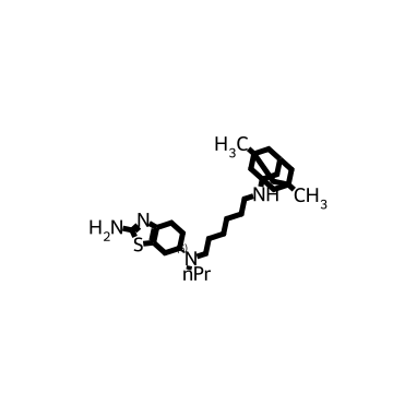 CCCN(CCCCCCNC12CC3CC(C)(CC(C)(C3)C1)C2)[C@H]1CCc2nc(N)sc2C1